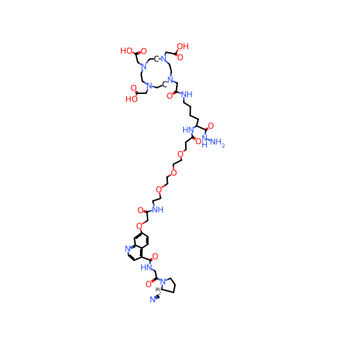 N#C[C@H]1CCCN1C(=O)CNC(=O)c1ccnc2cc(OCC(=O)NCCOCCOCCOCCC(=O)NC(CCCCNC(=O)CN3CCN(CC(=O)O)CCN(CC(=O)O)CCN(CC(=O)O)CC3)C(=O)NN)ccc12